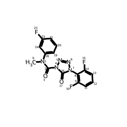 CN(C(=O)n1nnn(-c2c(F)cccc2F)c1=O)c1cccc(F)c1